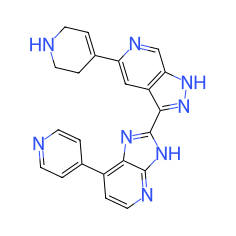 C1=C(c2cc3c(-c4nc5c(-c6ccncc6)ccnc5[nH]4)n[nH]c3cn2)CCNC1